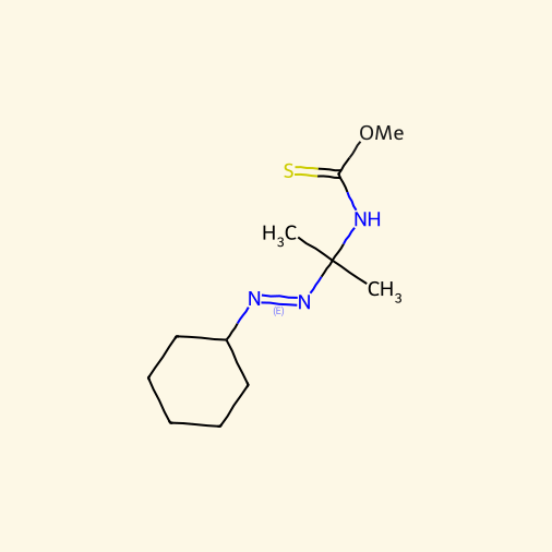 COC(=S)NC(C)(C)/N=N/C1CCCCC1